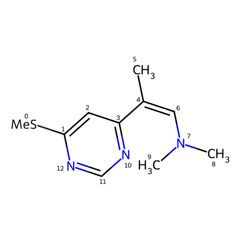 CSc1cc(/C(C)=C\N(C)C)ncn1